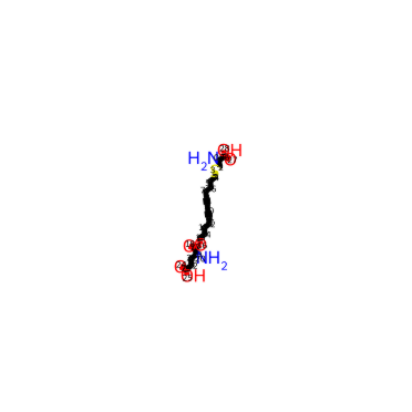 NC(CSCCCCC#CC#CCCCCOC(=O)C(N)CCC(=O)O)C(=O)O